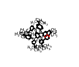 CC1CC(C(C)(C)C)=CC=C1N(c1ccc(C(C)(C)C)cc1)c1cc2c3c(c1)N(c1ccc(C(C)(C)C)cc1-c1ccccc1)c1cc4c(cc1B3c1ccc(C(C)(C)C)cc1N2c1cccc(C(C)(C)C)c1)CC(C)(C)C4